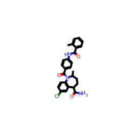 Cc1ccccc1C(=O)Nc1ccc(C(=O)N2c3ccc(Cl)cc3C(C(N)=O)CCC2C)cc1